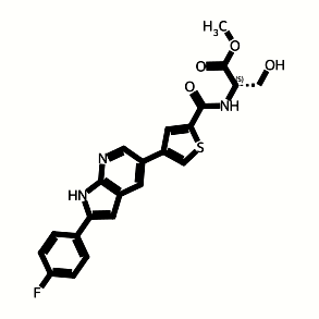 COC(=O)[C@H](CO)NC(=O)c1cc(-c2cnc3[nH]c(-c4ccc(F)cc4)cc3c2)cs1